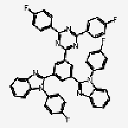 Fc1ccc(-c2nc(-c3ccc(F)cc3)nc(-c3cc(-c4nc5ccccc5n4-c4ccc(F)cc4)cc(-c4nc5ccccc5n4-c4ccc(F)cc4)c3)n2)cc1